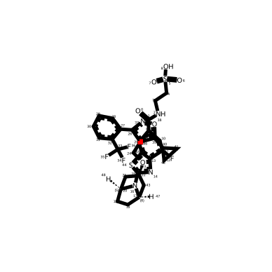 O=C(NCCS(=O)(=O)O)c1cc(F)c2nc(N3[C@@H]4CC[C@H]3C[C@@H](OCc3c(-c5ccccc5C(F)(F)F)noc3C3CC3)C4)sc2c1